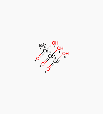 [Bi+3].[O]=[Co-][OH].[O]=[Co-][OH].[O]=[Co-][OH]